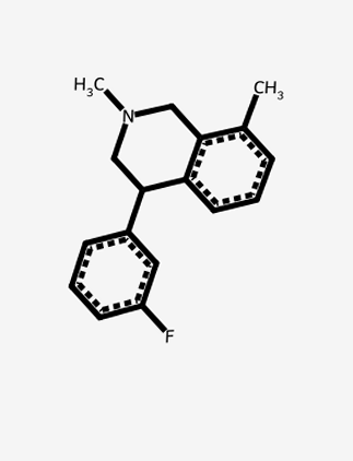 Cc1cccc2c1CN(C)CC2c1cccc(F)c1